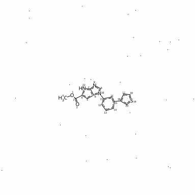 COC(=O)c1cc2c(ncn2-c2cccc(-c3ccsc3)c2)[nH]1